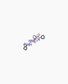 NC(C(=O)N1CCCC(C(=O)NCCNc2nsc3ccccc23)C1)c1ccccc1